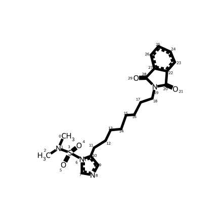 CN(C)S(=O)(=O)n1cncc1CCCCCCCCN1C(=O)c2ccccc2C1=O